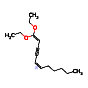 CCCCC/C=C\C#CC=C(OCC)OCC